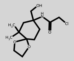 CC1(C)CC(CO)(NC(=O)CCl)CCC12OCCO2